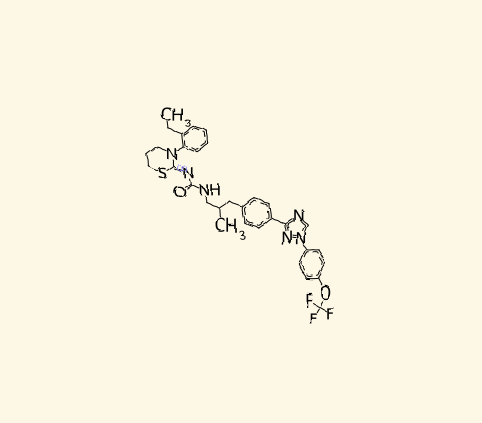 CCc1ccccc1N1CCCS/C1=N\C(=O)NCC(C)Cc1ccc(-c2ncn(-c3ccc(OC(F)(F)F)cc3)n2)cc1